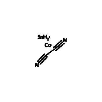 N#CC#N.[Co].[SnH2]